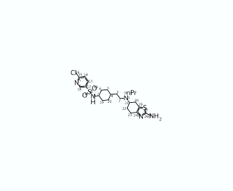 CCCN(CCC1CCC(NS(=O)(=O)c2ccc(Cl)nc2)CC1)C1CCc2nc(N)sc2C1